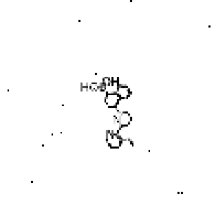 C=Cc1cccnc1C1=CCCC(C2=c3ccccc3=C(B(O)O)CC2)=N1